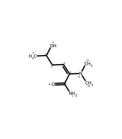 CC(O)C/C=C(\C(N)=O)N(C)C